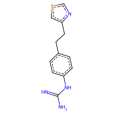 N=C(N)Nc1ccc(CCc2cs[c]n2)cc1